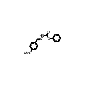 COc1ccc(C=NNC(=O)Oc2ccccc2)cc1